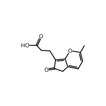 CC1=CC=C2CC(=O)C(CCC(=O)O)=C2O1